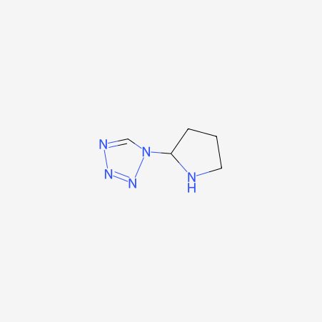 c1nnnn1C1CCCN1